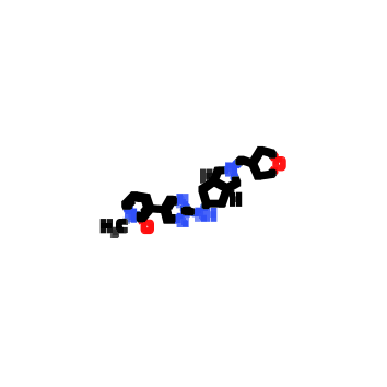 Cn1cccc(-c2cnc(NC3C[C@@H]4CN(CC5CCOCC5)C[C@@H]4C3)nc2)c1=O